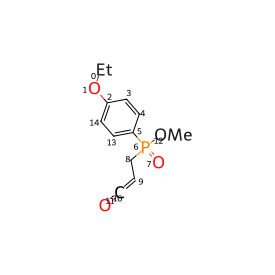 CCOc1ccc(P(=O)(CC=C=O)OC)cc1